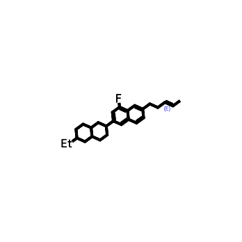 C/C=C/CCc1ccc2cc(C3CCC4CC(CC)CCC4C3)cc(F)c2c1